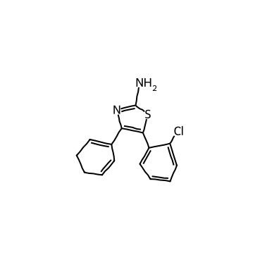 Nc1nc(C2=CCCC=C2)c(-c2ccccc2Cl)s1